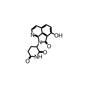 O=C1CCC(N2C(=O)c3c(O)ccc4ccnc2c34)C(=O)N1